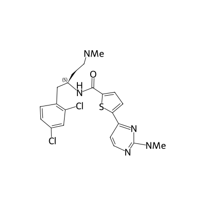 CNCC[C@H](Cc1ccc(Cl)cc1Cl)NC(=O)c1ccc(-c2ccnc(NC)n2)s1